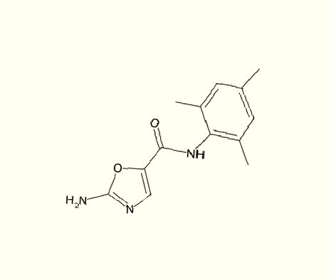 Cc1cc(C)c(NC(=O)c2cnc(N)o2)c(C)c1